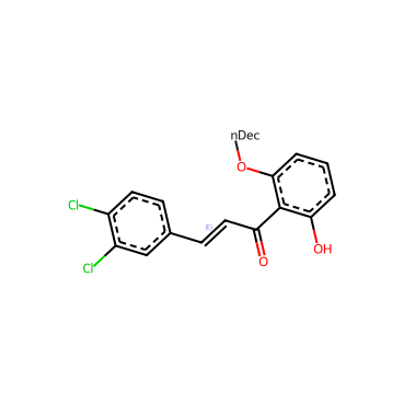 CCCCCCCCCCOc1cccc(O)c1C(=O)/C=C/c1ccc(Cl)c(Cl)c1